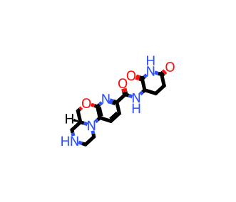 O=C1CCC(NC(=O)c2ccc3c(n2)OC[C@H]2CNCCN32)C(=O)N1